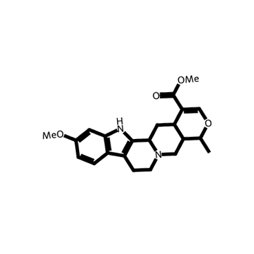 COC(=O)C1=COC(C)C2CN3CCc4c([nH]c5cc(OC)ccc45)C3CC12